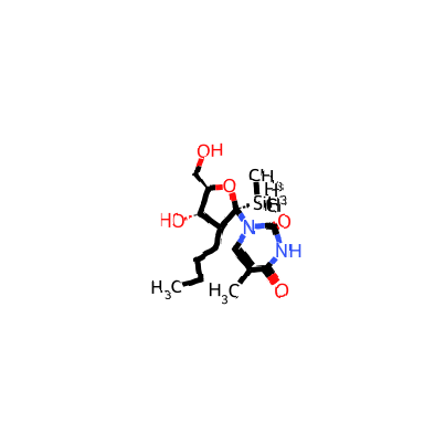 CCCCC1[C@H](O)[C@@H](CO)O[C@]1(n1cc(C)c(=O)[nH]c1=O)[SiH](C)C